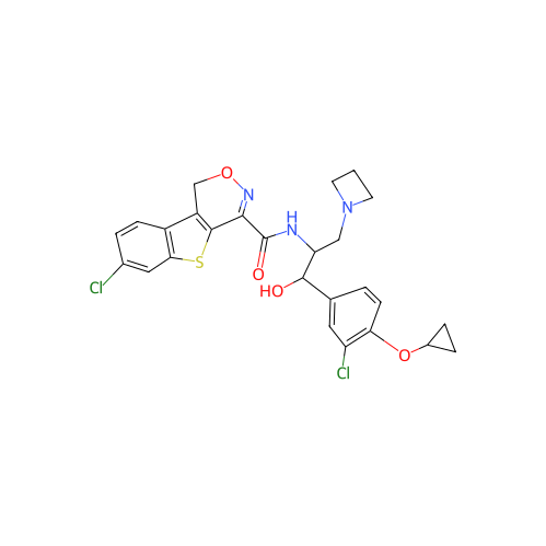 O=C(NC(CN1CCC1)C(O)c1ccc(OC2CC2)c(Cl)c1)C1=NOCc2c1sc1cc(Cl)ccc21